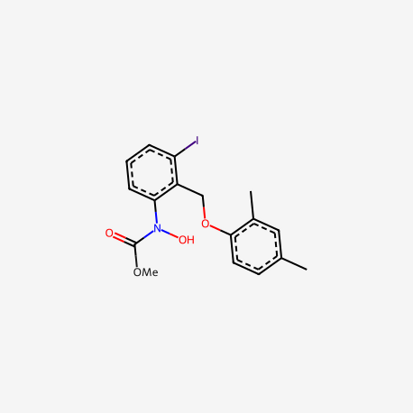 COC(=O)N(O)c1cccc(I)c1COc1ccc(C)cc1C